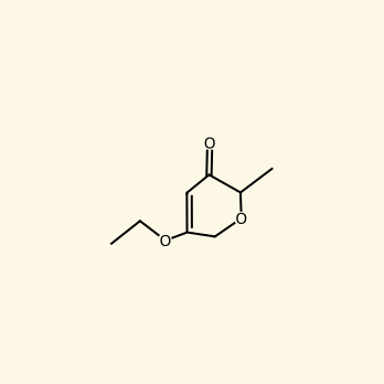 CCOC1=CC(=O)C(C)OC1